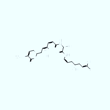 COC1=CC[C@@H]([C@@H](C)/C=C(C)/C=C\C(=O)N[C@H](C(=O)N/C=C\C[C@@H](O)C/C=C(\C)I)C(C)C)OC1=O